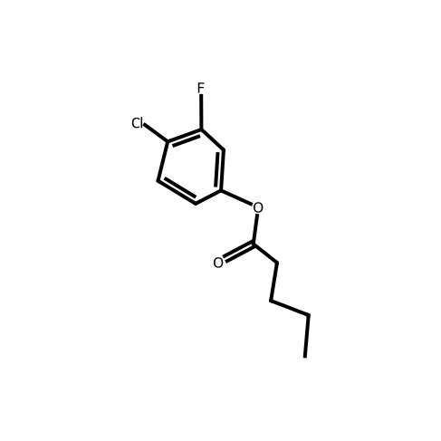 CCCCC(=O)Oc1ccc(Cl)c(F)c1